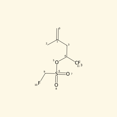 C=C(C)CC(OS(=O)(=O)CF)C(F)(F)F